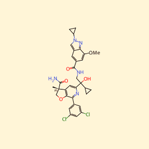 COc1cc(C(=O)NCC(O)(c2cc3c(c(-c4cc(Cl)cc(Cl)c4)n2)OC[C@]3(C)C(N)=O)C2CC2)cc2cn(C3CC3)nc12